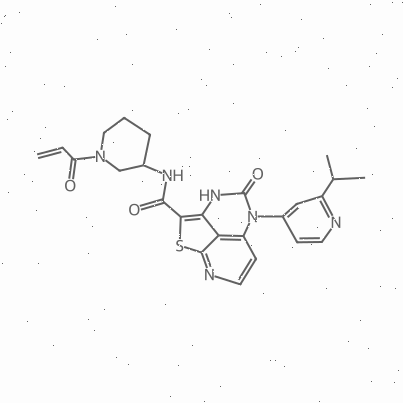 C=CC(=O)N1CCCC(NC(=O)c2sc3nccc4c3c2NC(=O)N4c2ccnc(C(C)C)c2)C1